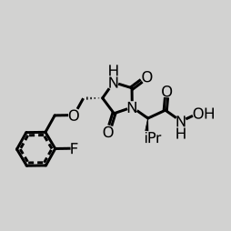 CC(C)[C@H](C(=O)NO)N1C(=O)N[C@@H](COCc2ccccc2F)C1=O